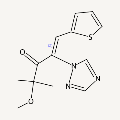 COC(C)(C)C(=O)/C(=C/c1cccs1)n1cncn1